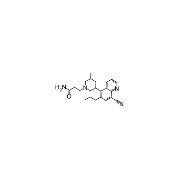 CCCc1cc(C#N)c2ncccc2c1C1CC(C)CN(CCC(N)=O)C1